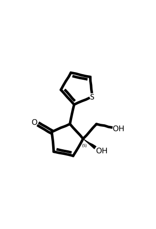 O=C1C=C[C@@](O)(CO)C1c1cccs1